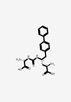 C[C@H](C[C@@H](Cc1ccc(-c2ccccc2)cc1)NC(=O)N[C@@H](C)C(=O)O)C(=O)O